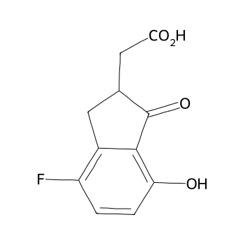 O=C(O)CC1Cc2c(F)ccc(O)c2C1=O